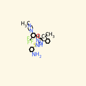 CC(C)c1ccccc1-c1cc(Oc2cc(N3CCN(C)CC3)cc(C(F)(F)F)c2)nc(NSc2cccc(N)c2)n1